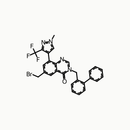 Cn1cc(-c2cc(CBr)cc3c(=O)n(Cc4ccccc4-c4ccccc4)cnc23)c(C(F)(F)F)n1